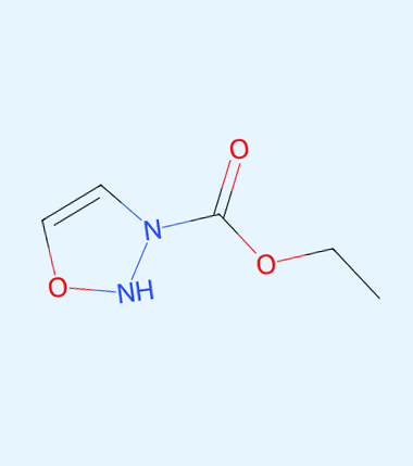 CCOC(=O)N1C=CON1